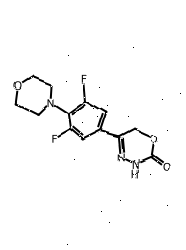 O=C1NN=C(c2cc(F)c(N3CCOCC3)c(F)c2)CO1